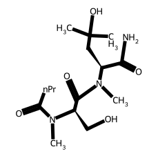 CCCC(=O)N(C)[C@H](CO)C(=O)N(C)[C@@H](CC(C)(C)O)C(N)=O